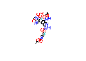 Cc1c(-c2cc3cc(NC(=O)OCC4(F)CN(C(=O)OC(C)(C)C)C4)ncc3c(NC(=O)OC(C)(C)C)c2F)cnc2c1N(C(=O)O)CCO2